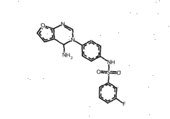 NC1c2ccoc2N=CN1c1ccc(NS(=O)(=O)c2cccc(F)c2)cc1